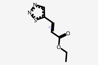 CCOC(=O)/C=C/c1cnns1